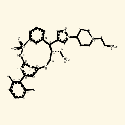 COCCN1CCC(n2cc(C3c4cccc(c4)S(=O)(=O)Nc4nc(cc(-c5c(C)cccc5C)n4)OC[C@H]3CC(C)(C)C)cn2)CC1